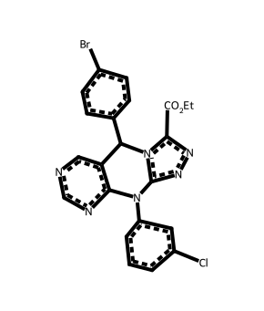 CCOC(=O)c1nnc2n1C(c1ccc(Br)cc1)c1cncnc1N2c1cccc(Cl)c1